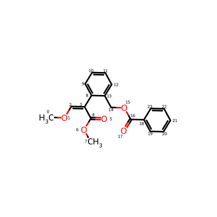 COC=C(C(=O)OC)c1ccccc1COC(=O)c1ccccc1